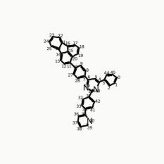 c1ccc(-c2cc(-c3ccc(-c4ccc5c6c(cccc46)-c4ccccc4-5)cc3)nc(-c3ccc(-c4ccccn4)cc3)n2)cc1